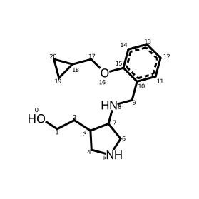 OCCC1CNCC1NCc1ccccc1OCC1CC1